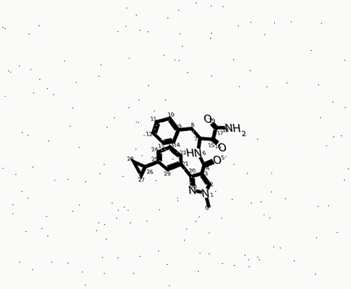 Cn1cc(C(=O)NC(Cc2ccccc2)C(=O)C(N)=O)c(-c2cccc(C3CC3)c2)n1